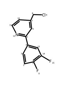 Fc1ccc(-c2cc(CCl)ccn2)cc1F